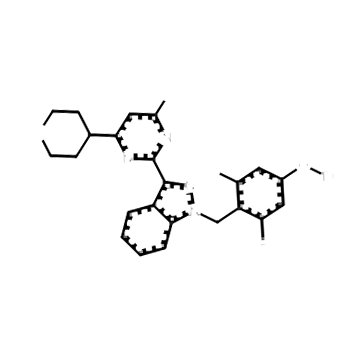 CCOc1cc(F)c(Cn2nc(-c3nc(O)cc(C4CCOCC4)n3)c3ccccc32)c(F)c1